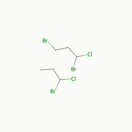 CCC(Cl)Br.ClC(Br)CCBr